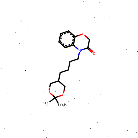 CC1(C(=O)O)OCC(CCCCN2C(=O)COc3ccccc32)CO1